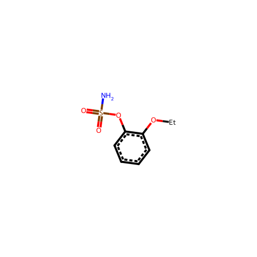 CCOc1ccccc1OS(N)(=O)=O